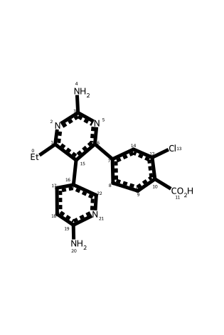 CCc1nc(N)nc(-c2ccc(C(=O)O)c(Cl)c2)c1-c1ccc(N)nc1